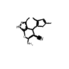 CC1=CC(C)=C(C2C(C#N)=C(N)Oc3[nH]nc(C)c32)C1